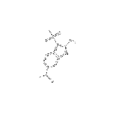 CC(=O)c1ccc2c(c1)nc(N)n2S(C)(=O)=O